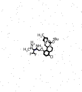 Cc1cnn(CC2c3c(OC/C(N)=C(\C(F)F)N(C)N)ccc(Cl)c3CCN2C(=O)OC(C)(C)C)c1